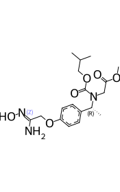 COC(=O)CN(C(=O)OCC(C)C)[C@H](C)c1ccc(OC/C(N)=N/O)cc1